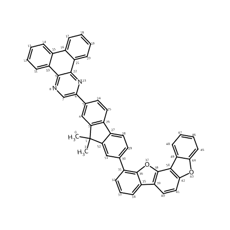 CC1(C)c2cc(-c3cnc4c5ccccc5c5ccccc5c4n3)ccc2-c2ccc(-c3cccc4c3oc3c4ccc4oc5ccccc5c43)cc21